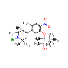 BC1(B)C=C(c2cc(OC(B)(C(B)(B)B)C(B)(B)O)c([N+](=O)[O-])cc2C)CC(B)(B)N1Br